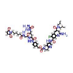 CCCN(CCC)C(=O)C1=Cc2cc(F)c(C(=O)Nc3cnc4c(c3)CN(C(=O)OCc3ccc(NC(=O)[C@H](CCCNC(N)=O)NC(=O)CNC(=O)CCCCCN5C(=O)C=CC5=O)cc3)CC4)cc2N=C(N)C1